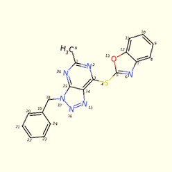 Cc1nc(Sc2nc3ccccc3o2)c2nnn(Cc3ccccc3)c2n1